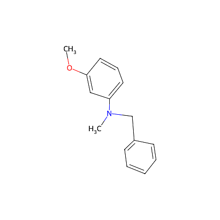 COc1cccc(N(C)Cc2ccccc2)c1